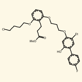 CCc1cc(-c2ccc(F)cc2)c(O)cc1OCCCOc1cccc(OCCCCCl)c1CCC(=O)OC